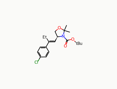 CCC(=C[C@H]1COC(C)(C)N1C(=O)OC(C)(C)C)c1ccc(Cl)cc1